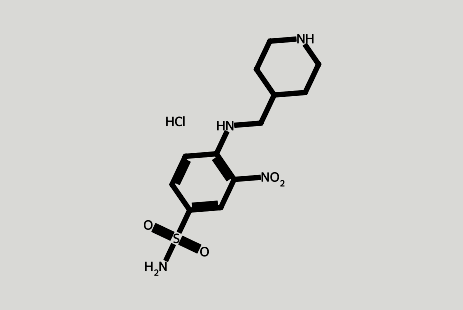 Cl.NS(=O)(=O)c1ccc(NCC2CCNCC2)c([N+](=O)[O-])c1